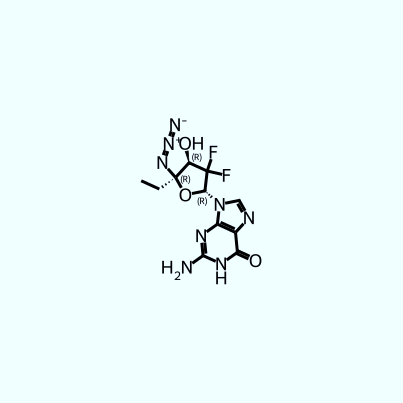 CC[C@@]1(N=[N+]=[N-])O[C@@H](n2cnc3c(=O)[nH]c(N)nc32)C(F)(F)[C@@H]1O